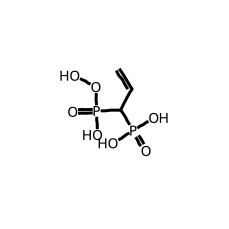 C=CC(P(=O)(O)O)P(=O)(O)OO